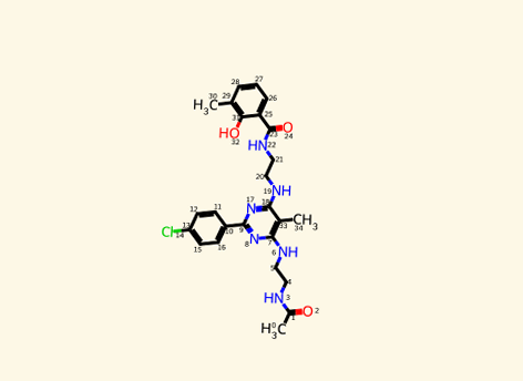 CC(=O)NCCNc1nc(-c2ccc(Cl)cc2)nc(NCCNC(=O)c2cccc(C)c2O)c1C